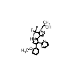 COc1ccccc1-c1c[nH]c(-c2cnn(C[C@@H](C)O)c2C(F)(F)F)c1-c1ncccn1